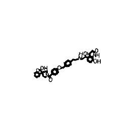 O=C(c1ccc(OCc2ccc(CCNCC(O)c3ccc(O)c4[nH]c(=O)ccc34)cc2)cc1)N1CCC(C(=O)O)(c2ccccc2)CC1